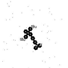 CC(C)(C)c1ccc(-c2c3ccccc3c(-c3ccc(C(C)(C)C)cc3)c3cc(-c4ccc(-c5ccc(-n6c7ccccc7c7ccncc76)cc5)cc4)ccc23)cc1